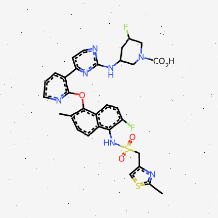 Cc1nc(CS(=O)(=O)Nc2c(F)ccc3c(Oc4ncccc4-c4ccnc(NC5CC(F)CN(C(=O)O)C5)n4)c(C)ccc23)cs1